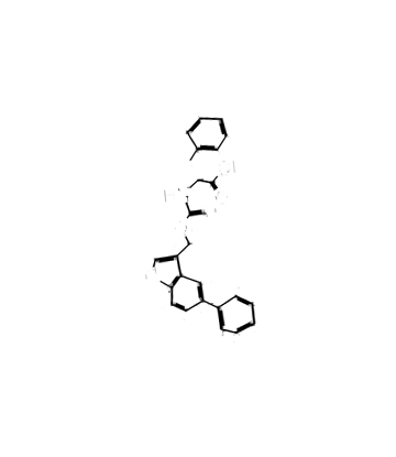 O=C(N[C@H](Cc1ccccc1)C(=O)O)OCc1coc2ccc(-c3ccccc3)cc12